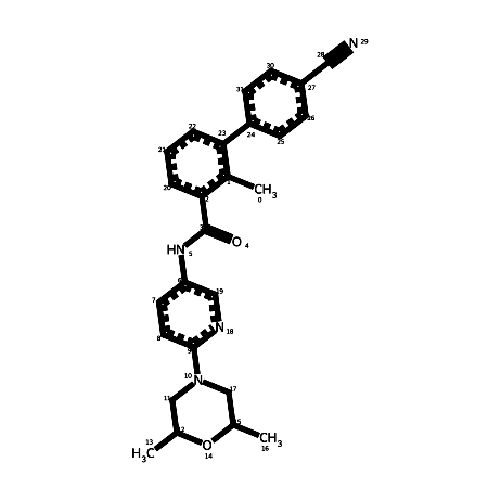 Cc1c(C(=O)Nc2ccc(N3CC(C)OC(C)C3)nc2)cccc1-c1ccc(C#N)cc1